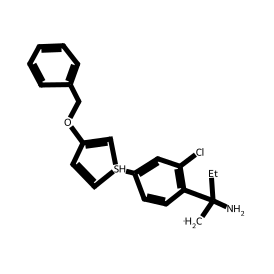 [CH2]C(N)(CC)c1ccc([SH]2C=CC(OCc3ccccc3)=C2)cc1Cl